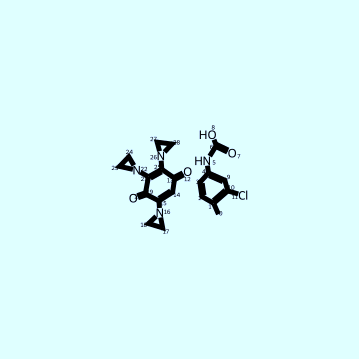 Cc1ccc(NC(=O)O)cc1Cl.O=C1C=C(N2CC2)C(=O)C(N2CC2)=C1N1CC1